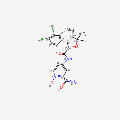 COc1c([C@@H]2[C@@H](C)[C@@](C)(C(F)(F)F)O[C@H]2C(=O)Nc2cc[n+]([O-])c(C(N)=O)c2)ccc(F)c1F